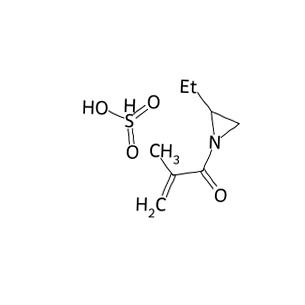 C=C(C)C(=O)N1CC1CC.O=[SH](=O)O